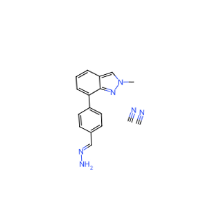 C#N.C#N.Cn1cc2cccc(-c3ccc(C=NN)cc3)c2n1